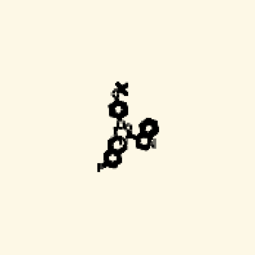 CC(C)(C)Oc1ccc(OC[C@@H]2Cc3cc(F)ccc3CN2C(=O)c2ccnc3ccccc23)cc1